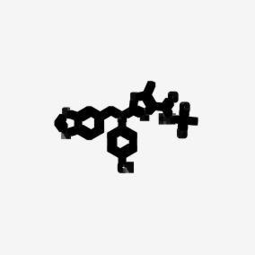 Cc1sc(N(Cc2ccc3ncsc3c2)c2ccc(C#N)cc2)nc1C(=O)NS(C)(=O)=O